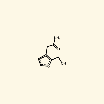 NC(=O)Cc1ccsc1CO